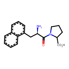 N[C@H](Cc1cccc2ccccc12)C(=O)N1CCCC1C(=O)O